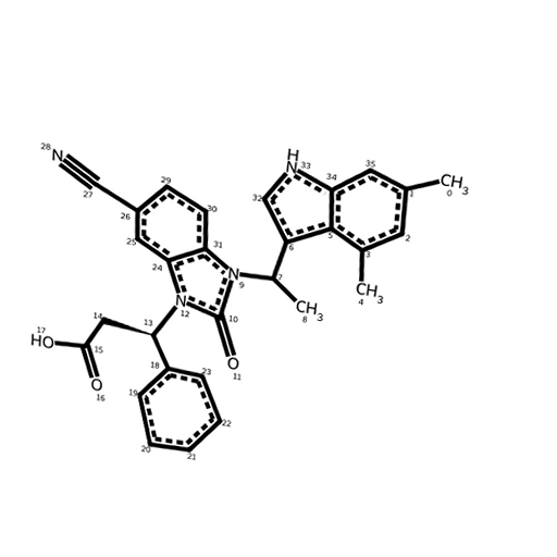 Cc1cc(C)c2c(C(C)n3c(=O)n([C@H](CC(=O)O)c4ccccc4)c4cc(C#N)ccc43)c[nH]c2c1